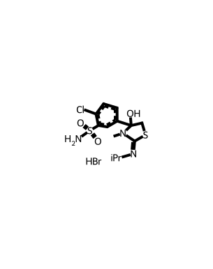 Br.CC(C)N=C1SCC(O)(c2ccc(Cl)c(S(N)(=O)=O)c2)N1C